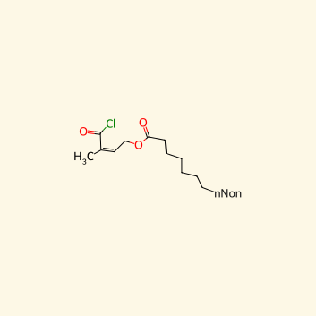 CCCCCCCCCCCCCCCC(=O)OCC=C(C)C(=O)Cl